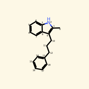 Cc1[nH]c2ccccc2c1CCCc1ccccc1